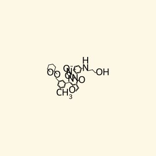 Cc1cc(COC2CCCCO2)cc(-c2nn(-c3cc(NCCCO)ccc3[N+](=O)[O-])c(=O)c3ccoc23)c1